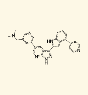 CN(C)Cc1cncc(-c2cnc3[nH]nc(-c4cc5c(-c6ccncc6)cccc5[nH]4)c3c2)c1